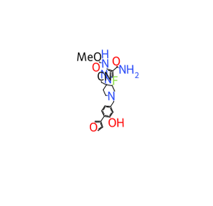 COC(=O)Nc1nn(C2(CC#N)CCN(Cc3ccc(-c4ccoc4)c(O)c3)CC2F)cc1C(N)=O